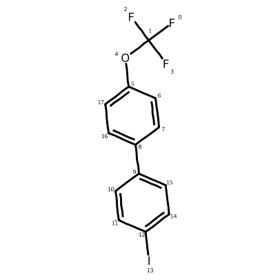 FC(F)(F)Oc1ccc(-c2c[c]c(I)cc2)cc1